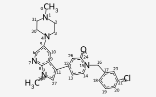 CN1CCN(c2cnc3c(c2)c(-c2ccn(Cc4cccc(Cl)c4)c(=O)c2)cn3C)CC1